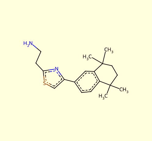 CC1(C)CCC(C)(C)c2cc(-c3csc(CCN)n3)ccc21